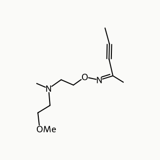 CC#C/C(C)=N\OCCN(C)CCOC